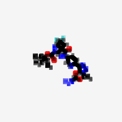 Cn1nnc(-c2ccc(NC(=O)C3(CNC(=O)OC(C)(C)C)CC(F)(F)C3)cn2)c1OC(N)=O